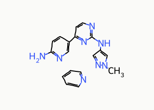 Cn1cc(Nc2nccc(-c3ccc(N)nc3)n2)cn1.c1ccncc1